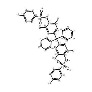 Cc1ccc(S(=O)(=O)Oc2c(C)cc(C(c3ccccc3)(c3ccccc3)c3cc(C)c(OS(=O)(=O)c4ccc(C)cc4)c(C)c3)cc2C)cc1